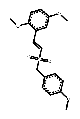 COc1ccc(CS(=O)(=O)/C=C/c2cc(OC)ccc2OC)cc1